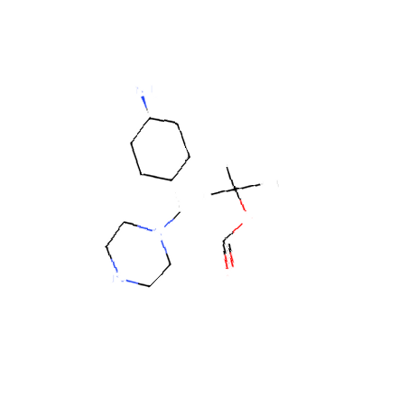 CC(C)(C)OC=O.N[C@H]1CC[C@H](CN2CCNCC2)CC1